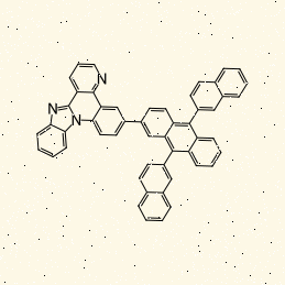 c1ccc2cc(-c3c4ccccc4c(-c4ccc5ccccc5c4)c4cc(-c5ccc6c(c5)c5ncccc5c5nc7ccccc7n65)ccc34)ccc2c1